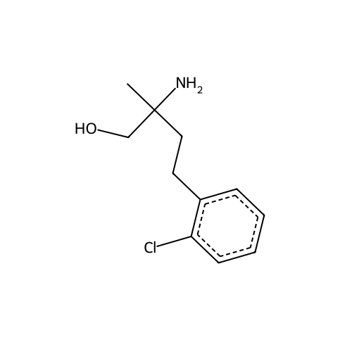 CC(N)(CO)CCc1ccccc1Cl